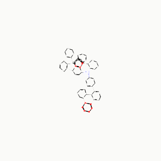 c1ccc(-c2ccccc2-c2c(-c3ccccc3)cccc2-c2ccc(N(c3ccc4c(c3)C(c3ccccc3)(c3ccccc3)c3ccccc3-4)c3ccccc3-c3ccccc3)cc2)cc1